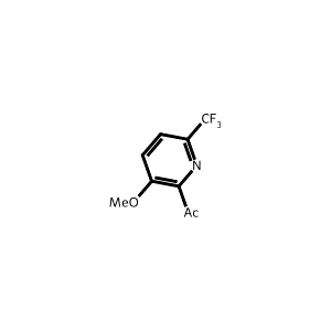 COc1ccc(C(F)(F)F)nc1C(C)=O